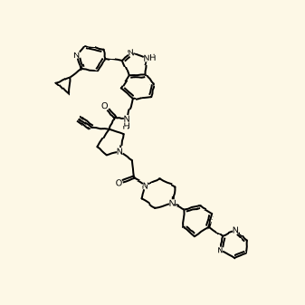 C#CC1(C(=O)Nc2ccc3[nH]nc(-c4ccnc(C5CC5)c4)c3c2)CCN(CC(=O)N2CCN(c3ccc(-c4ncccn4)cc3)CC2)C1